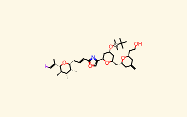 C=C1C[C@H](C[C@@H]2C[C@@H](O[Si](C)(C)C(C)(C)C)C[C@H](c3coc(/C=C/C[C@H]4O[C@@H](/C(C)=C/I)[C@H](C)[C@@H](C)[C@H]4C)n3)O2)O[C@@H](CCO)C1